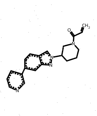 C=CC(=O)N1CCCC(n2cc3ccc(-c4cccnc4)cc3n2)C1